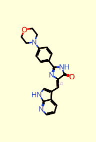 O=C1NC(c2ccc(N3CCOCC3)cc2)=N/C1=C\c1c[nH]c2ncccc12